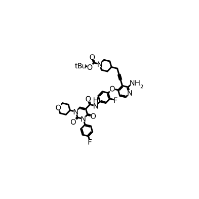 CC(C)(C)OC(=O)N1CCC(CC#Cc2c(Oc3ccc(NC(=O)c4cn(C5CCOCC5)c(=O)n(-c5ccc(F)cc5)c4=O)cc3F)ccnc2N)CC1